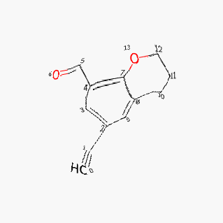 C#Cc1cc(C=O)c2c(c1)CCCO2